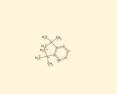 CC(C)(C)c1ccc[se+]c1C(C)(C)C